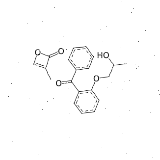 CC(O)COc1ccccc1C(=O)c1ccccc1.CC1=COC1=O